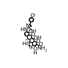 COc1ccc(-c2csc(Nc3ccc4c(c3O)C(=O)C3=C(O)C5C(=O)C(C(N)=O)=C(O)[C@@H](N(C)C)C5[C@@H](O)C3[C@H]4C)n2)cc1